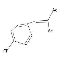 CC(=O)C(=Cc1ccc(Cl)cc1)C(C)=O